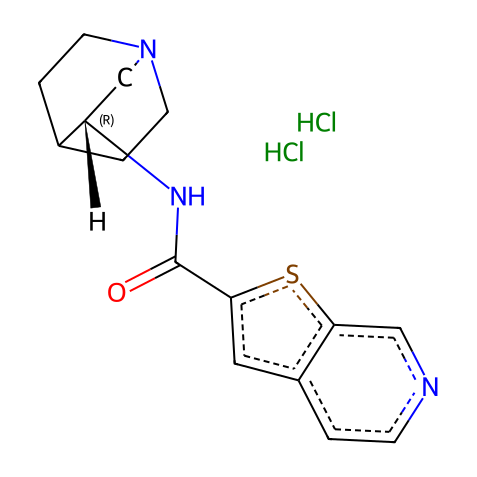 Cl.Cl.O=C(N[C@H]1CN2CCC1CC2)c1cc2ccncc2s1